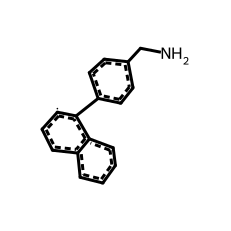 NCc1ccc(-c2[c]ccc3ccccc23)cc1